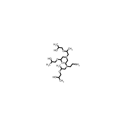 CC(O)COC(C)CN(CCN)CCN(CC(C)OCC(C)O)CC(C)OCC(C)O